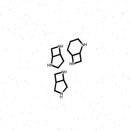 C1CC2NCC2N1.C1CNC2CNC2C1.C1NCC2NCC12